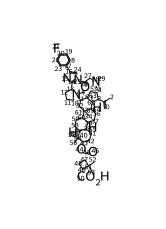 C=C(C)[C@@H]1CC[C@]2(C(=O)N3CCC[C@H]3c3nc(-c4ccc(F)cc4)cn3CCN(C)C)CC[C@]3(C)[C@H](CC[C@@H]4[C@@]5(C)CC[C@H](OC(=O)[C@H]6C[C@@H](C(=O)O)C6(C)C)C(C)(C)[C@@H]5CC[C@]43C)[C@@]12C